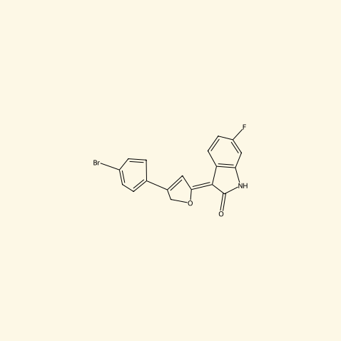 O=C1Nc2cc(F)ccc2/C1=C1\C=C(c2ccc(Br)cc2)CO1